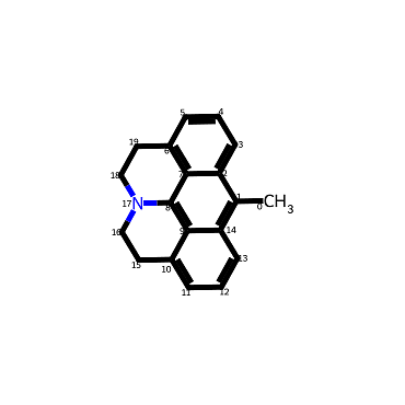 Cc1c2cccc3c2c2c4c(cccc14)CCN2CC3